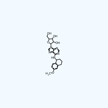 COc1ccc2c(c1)CCCC2Nc1ncnc2c1ncn2C1OC(CO)C(O)C1O